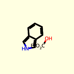 CCOC(=O)O.c1ccc2c[nH]cc2c1